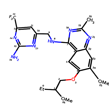 CCC(COc1cc2c(NCc3cc(C(F)(F)F)nc(N)n3)nc(C)nc2cc1OC)OC